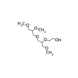 COCC(COCC(COC)OCCO)OC